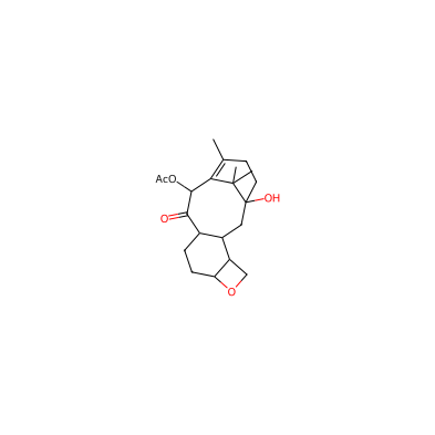 CC(=O)OC1C(=O)C2CCC3OCC3C2CC2(O)CCC(C)=C1C2(C)C